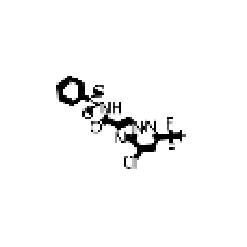 O=C(NS(=O)(=O)c1ccccc1)c1cn2nc(C(F)(F)F)cc(Cl)c2n1